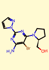 Nc1nc(-n2cccn2)nc(N2CCC[C@H]2CO)c1Br